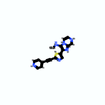 CC(C)(C)Nc1c(-c2cnc(C#Cc3ccncc3)s2)nc2cnccn12